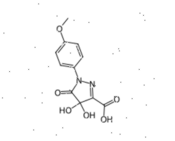 COc1ccc(N2N=C(C(=O)O)C(O)(O)C2=O)cc1